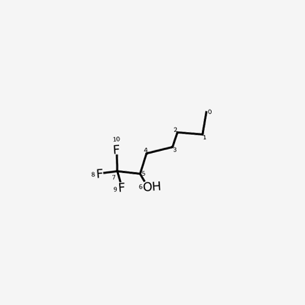 CCCCCC(O)C(F)(F)F